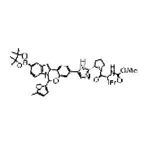 COC(=O)N[C@H](C(=O)N1CCC[C@H]1c1ncc(-c2ccc3c(c2)OC(c2ccc(C)o2)n2c-3cc3cc(B4OC(C)(C)C(C)(C)O4)ccc32)[nH]1)C(C)C